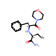 CC(C)C[C@H](N[C@@H](Cc1ccccc1)C(=O)N1CCOCC1)C(N)=O